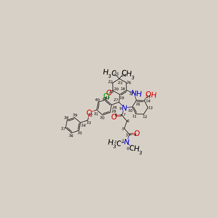 CN(C)C(=O)CCC(=O)N1C2=CCCC(O)=C2NC2=C(C(=O)CC(C)(C)C2)C1c1ccc(OCc2ccccc2)cc1Cl